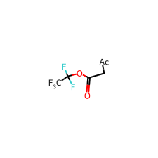 CC(=O)CC(=O)OC(F)(F)C(F)(F)F